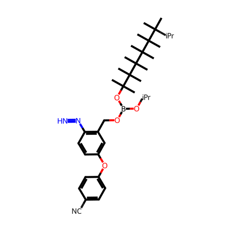 CC(C)OB(OCc1cc(Oc2ccc(C#N)cc2)ccc1N=N)OC(C)(C)C(C)(C)C(C)(C)C(C)(C)C(C)(C)C(C)(C)C(C)C